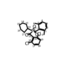 Cc1cccc(C)c1C(=O)P(=O)(C(=O)c1c(Cl)cccc1Cl)C1CCCCC1